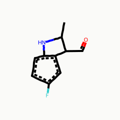 CC1Nc2ccc(F)cc2C1C=O